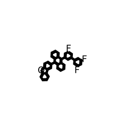 Fc1cc(F)cc(-c2cc(F)cc(-c3c4ccccc4c(-c4ccc5oc6ccccc6c5c4)c4ccccc34)c2)c1